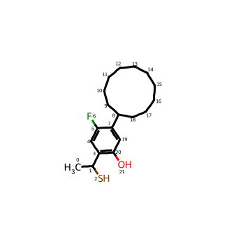 CC(S)c1cc(F)c(C2CCCCCCCCCC2)cc1O